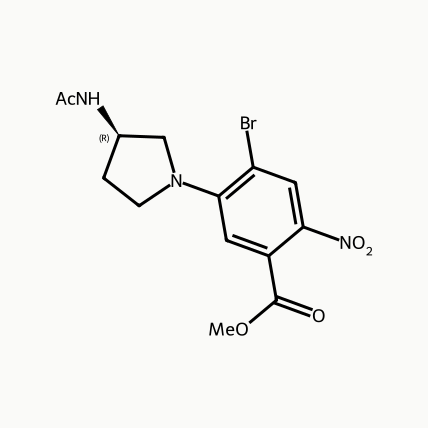 COC(=O)c1cc(N2CC[C@@H](NC(C)=O)C2)c(Br)cc1[N+](=O)[O-]